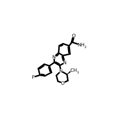 C[C@H]1COCCN1c1nc2cc(C(N)=O)ccc2nc1-c1ccc(F)cc1